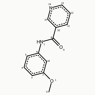 COc1cccc(NC(=O)c2cccnc2)c1